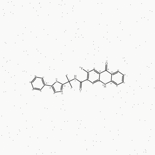 CC(C)(NC(=O)c1cc2[nH]c3ccccc3c(=O)c2cc1F)c1ncc(-c2ccccc2)s1